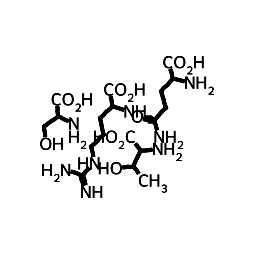 CC(O)C(N)C(=O)O.N=C(N)NCCCC(N)C(=O)O.NC(=O)CCC(N)C(=O)O.NC(CO)C(=O)O